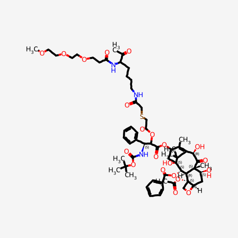 COCCOCCOCCC(=O)NC(CCCCNC(=O)CSCC(=O)OC(C(=O)OC1C[C@@]2(O)[C@@H](OC(=O)c3ccccc3)[C@@H]3[C@]4(OC(C)=O)CO[C@@H]4C[C@H](O)[C@@]3(C)C(=O)[C@H](O)C(=C1C)C2(C)C)[C@@H](NC(=O)OC(C)(C)C)c1ccccc1)C(C)=O